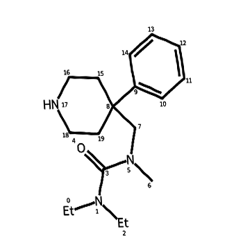 CCN(CC)C(=O)N(C)CC1(c2ccccc2)CCNCC1